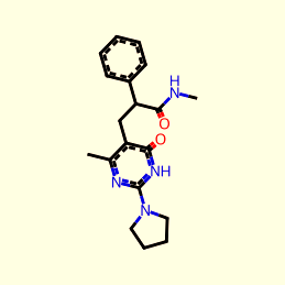 CNC(=O)C(Cc1c(C)nc(N2CCCC2)[nH]c1=O)c1ccccc1